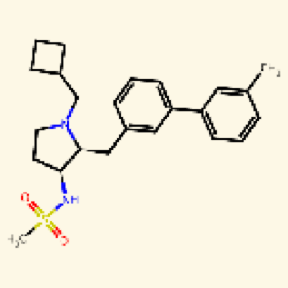 Cc1cccc(-c2cccc(C[C@H]3[C@@H](NS(C)(=O)=O)CCN3CC3CCC3)c2)c1